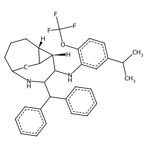 CC(C)c1ccc(OC(F)(F)F)c(NC2C(C(c3ccccc3)c3ccccc3)NC3CCC[C@H]4C(C3)[C@@H]24)c1